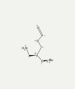 CC[C@H](C)O[C@@H](CN)COP=O